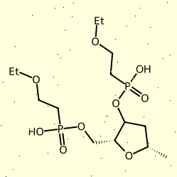 CCOCCP(=O)(O)OC[C@H]1O[C@@H](C)CC1OP(=O)(O)CCOCC